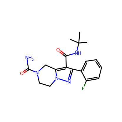 CC(C)(C)NC(=O)c1c(-c2ccccc2F)nn2c1CN(C(N)=O)CC2